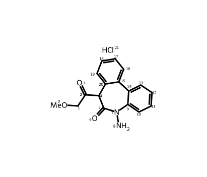 COCC(=O)C1C(=O)N(N)c2ccccc2-c2ccccc21.Cl